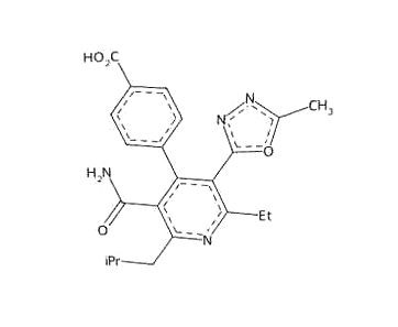 CCc1nc(CC(C)C)c(C(N)=O)c(-c2ccc(C(=O)O)cc2)c1-c1nnc(C)o1